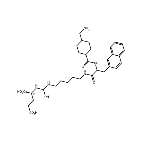 NCC1CCC(C(=O)NC(Cc2ccc3ccccc3c2)C(=O)NCCCCCNC(O)N[C@@H](CCC(=O)O)C(=O)O)CC1